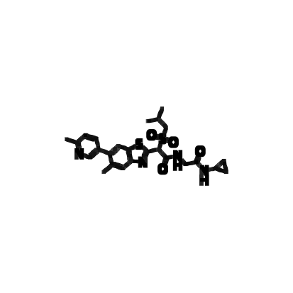 Cc1ccc(-c2cc3sc(C(C(=O)NCC(=O)NC4CC4)S(=O)(=O)CC(C)C)nc3cc2C)cn1